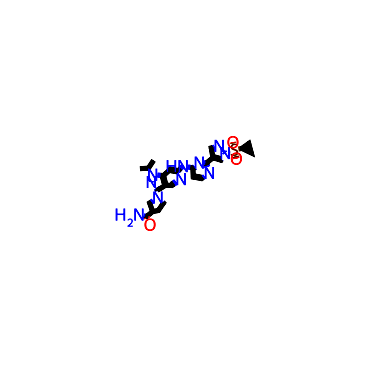 CC(C)n1nc(N2CCC(C(N)=O)C2)c2cnc(Nc3ccnc(-c4cnn(S(=O)(=O)C5CC5)c4)n3)cc21